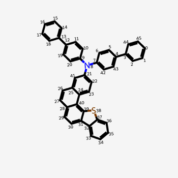 c1ccc(-c2ccc(N(c3ccc(-c4ccccc4)cc3)c3ccc4c(ccc5ccc6c7ccccc7sc6c54)c3)cc2)cc1